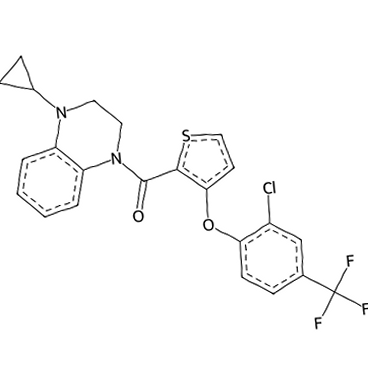 O=C(c1sccc1Oc1ccc(C(F)(F)F)cc1Cl)N1CCN(C2CC2)c2ccccc21